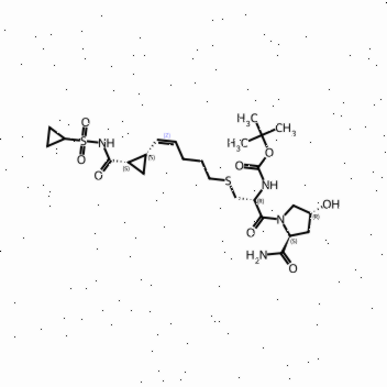 CC(C)(C)OC(=O)N[C@@H](CSCCC/C=C\[C@@H]1C[C@@H]1C(=O)NS(=O)(=O)C1CC1)C(=O)N1C[C@H](O)C[C@H]1C(N)=O